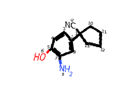 N#CC1(c2ccc(O)c(N)c2)CCCC1